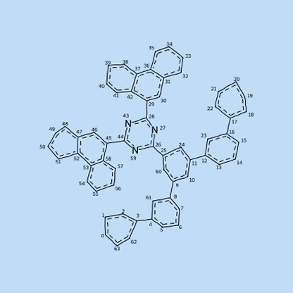 c1ccc(-c2cccc(-c3cc(-c4cccc(-c5ccccc5)c4)cc(-c4nc(-c5cc6ccccc6c6ccccc56)nc(-c5cc6ccccc6c6ccccc56)n4)c3)c2)cc1